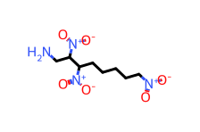 NCC(C(CCCCC[N+](=O)[O-])[N+](=O)[O-])[N+](=O)[O-]